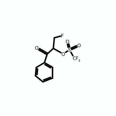 O=C(c1ccccc1)C(CF)OS(=O)(=O)C(F)(F)F